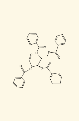 O=C[C@H](OC(=O)c1ccccc1)[C@H](OC(=O)c1ccccc1)[C@@H](COC(=O)c1ccccc1)OC(=O)c1ccccc1